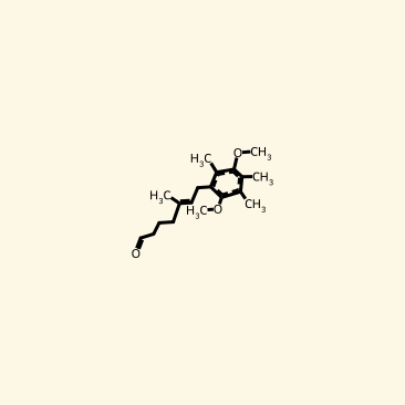 COc1c(C)c(C)c(OC)c(C/C=C(\C)CCCC=O)c1C